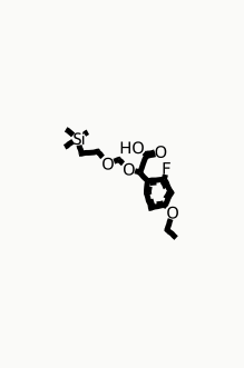 CCOc1ccc(C(OCOCC[Si](C)(C)C)C(=O)O)c(F)c1